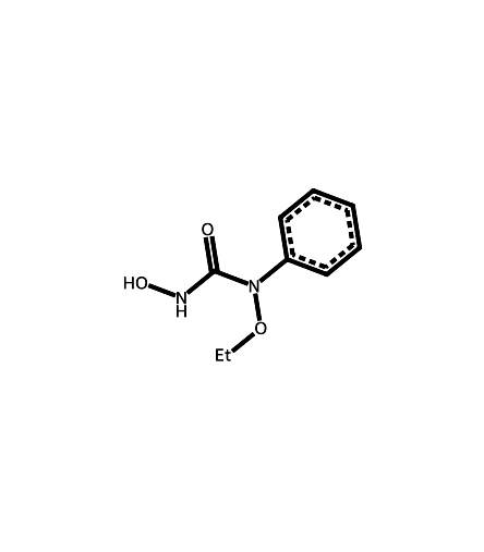 CCON(C(=O)NO)c1ccccc1